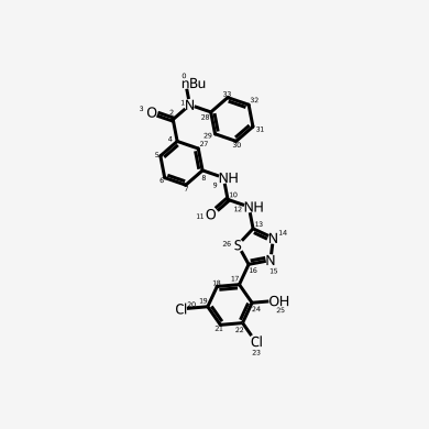 CCCCN(C(=O)c1cccc(NC(=O)Nc2nnc(-c3cc(Cl)cc(Cl)c3O)s2)c1)c1ccccc1